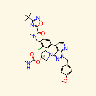 CNC(=O)O[C@@H]1CCN(c2nn(Cc3ccc(OC)cc3)c3nccc(-c4ccc(CN(C)C(=O)c5nc(C(C)(C)C)no5)c(F)c4)c23)C1